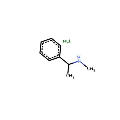 CNC(C)c1ccccc1.Cl